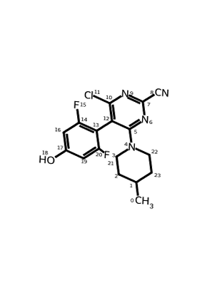 CC1CCN(c2nc(C#N)nc(Cl)c2-c2c(F)cc(O)cc2F)CC1